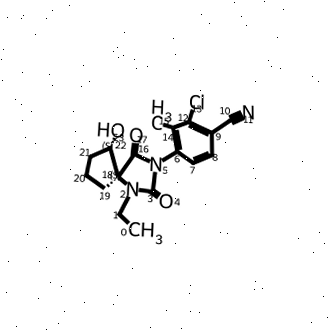 CCN1C(=O)N(c2ccc(C#N)c(Cl)c2C)C(=O)[C@@]12CCC[C@@H]2O